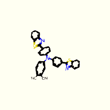 N#Cc1ccc(N(c2ccc(-c3nc4ccccc4s3)cc2)c2ccc(-c3nc4ccccc4s3)cc2)cc1C#N